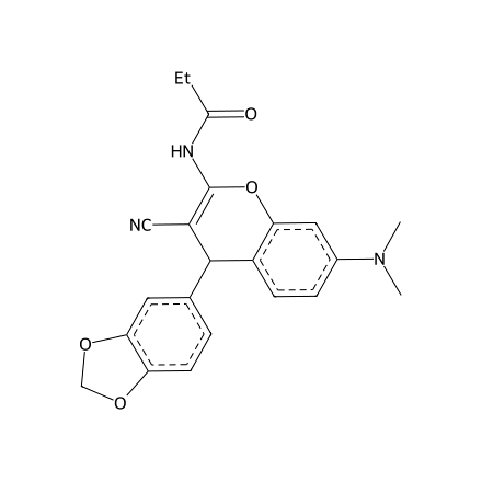 CCC(=O)NC1=C(C#N)C(c2ccc3c(c2)OCO3)c2ccc(N(C)C)cc2O1